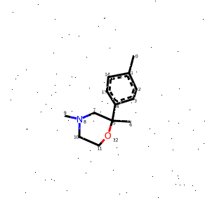 Cc1ccc(C2(C)CN(C)CCO2)cc1